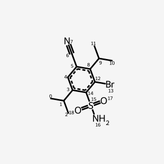 CC(C)c1cc(C#N)c(C(C)C)c(Br)c1S(N)(=O)=O